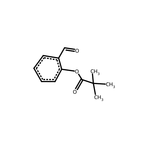 CC(C)(C)C(=O)Oc1ccccc1C=O